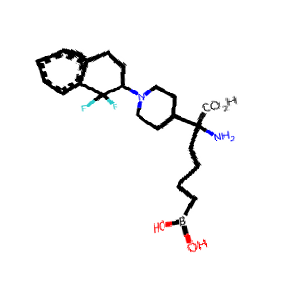 NC(CCCCB(O)O)(C(=O)O)C1CCN(C2CCc3ccccc3C2(F)F)CC1